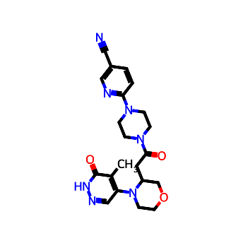 Cc1c(N2CCOCC2CC(=O)N2CCN(c3ccc(C#N)cn3)CC2)cn[nH]c1=O